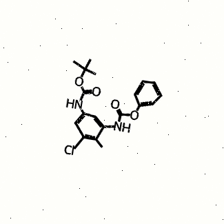 Cc1c(Cl)cc(NC(=O)OC(C)(C)C)cc1NC(=O)Oc1ccccc1